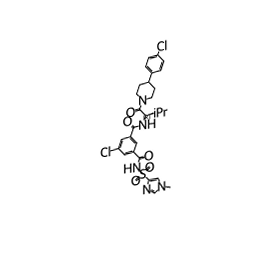 CC(C)[C@@H](NC(=O)c1cc(Cl)cc(C(=O)NS(=O)(=O)c2cn(C)cn2)c1)C(=O)N1CCC(c2ccc(Cl)cc2)CC1